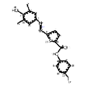 Cc1cc(/N=N/c2ccc(C(=O)Oc3ccc(F)cc3)s2)cc(C)c1O